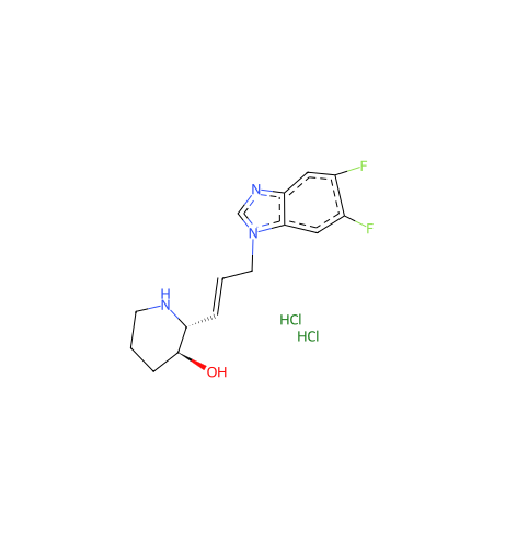 Cl.Cl.O[C@H]1CCCN[C@@H]1/C=C/Cn1cnc2cc(F)c(F)cc21